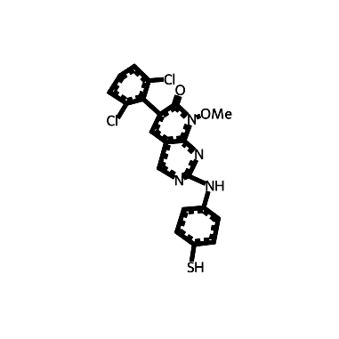 COn1c(=O)c(-c2c(Cl)cccc2Cl)cc2cnc(Nc3ccc(S)cc3)nc21